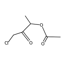 CC(=O)OC(C)C(=O)CCl